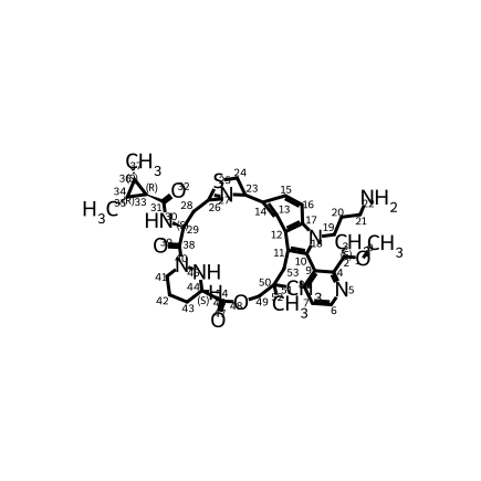 CO[C@@H](C)c1ncccc1-c1c2c3cc(ccc3n1CCCN)C1CSC(=N1)C[C@H](NC(=O)[C@H]1[C@H](C)[C@@H]1C)C(=O)N1CCC[C@H](N1)C(=O)OCC(C)(C)C2